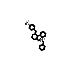 CN(C)c1ccc(C=C2CCCc3c[n+](Cc4ccccc4)c4ccccc4c32)cc1